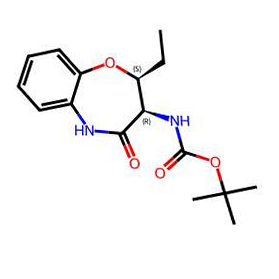 CC[C@@H]1Oc2ccccc2NC(=O)[C@@H]1NC(=O)OC(C)(C)C